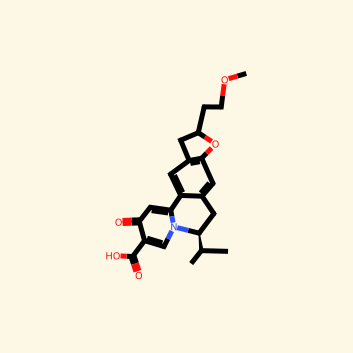 COCCC1Cc2cc3c(cc2O1)C[C@@H](C(C)C)n1cc(C(=O)O)c(=O)cc1-3